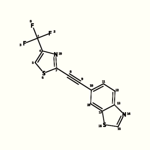 FC(F)(F)c1csc(C#Cc2ccc3ncsc3c2)n1